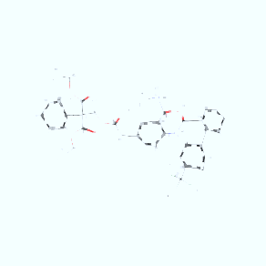 CCOC(=O)C(COC(=O)Cc1cc(Cl)c(NC(=O)c2ccccc2-c2ccc(C(F)(F)F)cc2)c(C(=O)N(C)C)c1)(C(=O)OCC)c1ccccc1